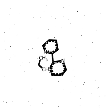 CCC.c1ccc(-c2ccccn2)nc1